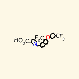 O=C(O)C[C@@H]1CCCN(Cc2ccc3ccc(O[C@H]4CC[C@@H](C(F)(F)F)CC4)c(C(F)(F)F)c3c2)C1